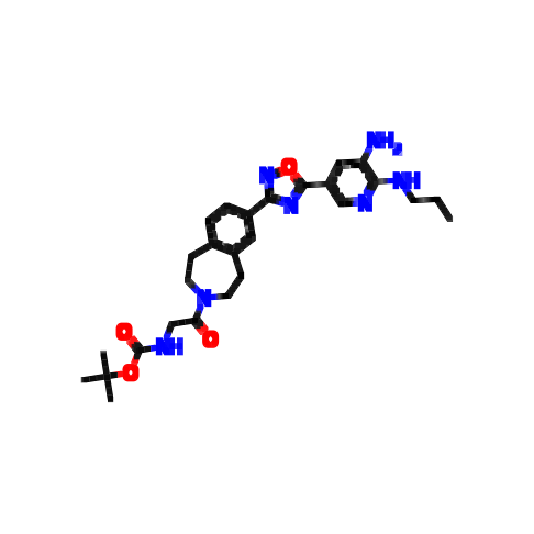 CCCNc1ncc(-c2nc(-c3ccc4c(c3)CCN(C(=O)CNC(=O)OC(C)(C)C)CC4)no2)cc1N